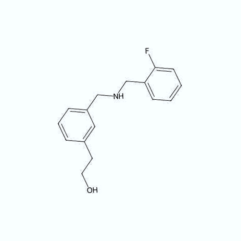 OCCc1cccc(CNCc2ccccc2F)c1